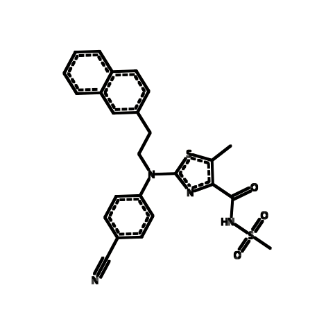 Cc1sc(N(CCc2ccc3ccccc3c2)c2ccc(C#N)cc2)nc1C(=O)NS(C)(=O)=O